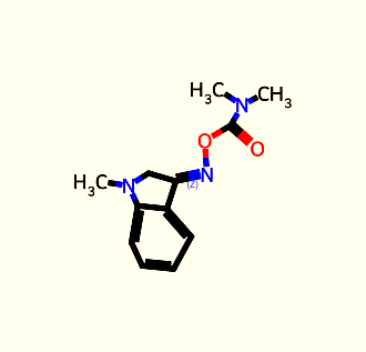 CN(C)C(=O)O/N=C1\CN(C)c2ccccc21